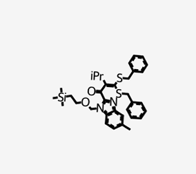 Cc1ccc2c(c1)nc(C(=O)C(=C(SCc1ccccc1)SCc1ccccc1)C(C)C)n2COCC[Si](C)(C)C